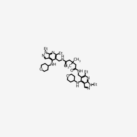 CCc1nc2c(cnn2CC)c(NC2CCOCC2)c1CNC(=O)CC(C)(C)CC(=O)NCc1c(CC)nc2c(cnn2CC)c1NC1CCOCC1